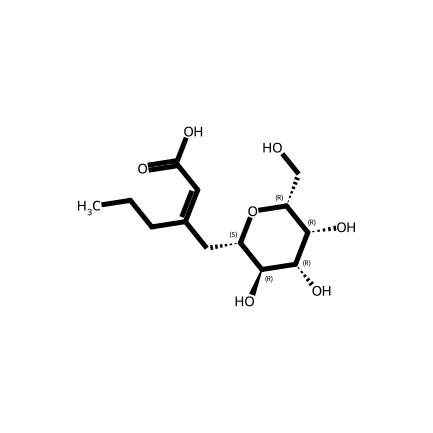 CCCC(=CC(=O)O)C[C@@H]1O[C@H](CO)[C@H](O)[C@H](O)[C@H]1O